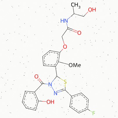 COc1c(OCC(=O)NC(C)CO)cccc1C1SC(c2ccc(F)cc2)=NN1C(=O)c1ccccc1O